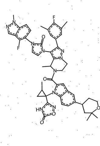 Cc1cc(-c2nn3c(c2-n2ccn(-c4ccc5c(cnn5C)c4F)c2=O)C(C)N(C(=O)c2cc4cc(C5CCOC(C)(C)C5)ccc4n2C2(c4noc(=O)[nH]4)CC2C)CC3)cc(C)c1F